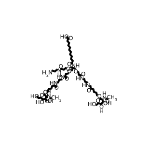 CC(=O)NC1C(O)[C@H](O)C(CO)O[C@H]1OCCCCC(=O)CNCCCNC(=O)CCOCC(COCCC(=O)NCCCN)(COCCC(=O)NCCCNC(=O)CCCCO[C@@H]1OC(CO)[C@@H](O)C(O)C1NC(C)=O)NC(=O)CCCCCCCCCCC(=O)O